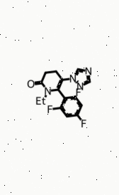 CCN1C(=O)CCC(n2cncn2)=C1c1c(F)cc(F)cc1F